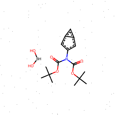 CC(C)(C)OC(=O)N(C(=O)OC(C)(C)C)c1cc2cc-2c1.OBO